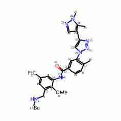 COc1c(CNC(C)(C)C)cc(C(F)(F)F)cc1NC(=O)c1ccc(C)c(-n2cc(-c3cnn(C)c3C)nn2)c1